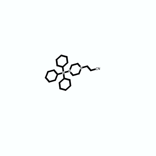 N#CCCN1CCN([Si](C2CCCCC2)(C2CCCCC2)C2CCCCC2)CC1